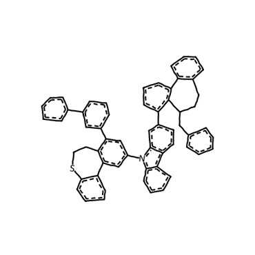 c1ccc(CC2CCc3ccccc3-c3cccc(-c4ccc5c6ccccc6n(-c6cc(-c7cccc(-c8ccccc8)c7)c7c(c6)-c6ccccc6SCC7)c5c4)c32)cc1